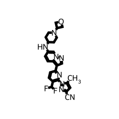 Cc1cc(C#N)nn1-c1nc(-c2cnn3cc(NC4CCN(C5COC5)CC4)ccc23)ccc1C(F)F